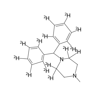 [2H]c1c([2H])c([2H])c(C(c2c([2H])c([2H])c([2H])c([2H])c2[2H])N2C([2H])([2H])CN(C)CC2([2H])[2H])c([2H])c1[2H]